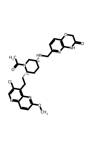 COc1ccc2ncc(Cl)c(CC[C@H]3CC[C@@H](NCc4ccc5c(n4)NC(=O)CO5)CN3C(C)=O)c2n1